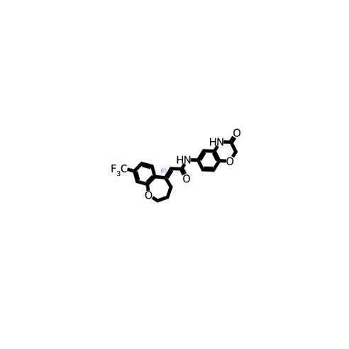 O=C(/C=C1\CCCOc2cc(C(F)(F)F)ccc21)Nc1ccc2c(c1)NC(=O)CO2